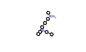 CN(c1ccccc1)c1ccc(-c2ccc(-c3ccc4c5cc6ccccc6cc5n(-c5ccc(-c6ccccc6)cc5)c4c3)cc2)cc1